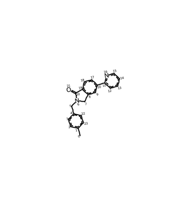 Cc1ccc(CN2Cc3cc(-c4ccccn4)ccc3C2=O)cc1